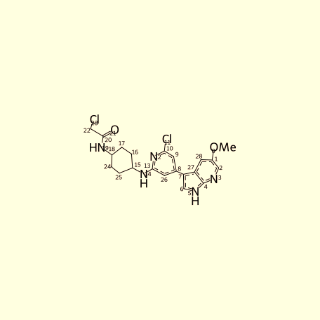 COc1cnc2[nH]cc(-c3cc(Cl)nc(NC4CCC(NC(=O)CCl)CC4)c3)c2c1